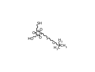 CC(C)(C)CCOCCCSCCCn1c(=O)n(CCO)c(=O)n(CCCS)c1=O